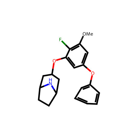 COc1cc(Oc2ccccc2)cc(OC2CC3CCC(C2)N3)c1F